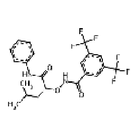 CC(C)C[C@@H](ONC(=O)c1cc(C(F)(F)F)cc(C(F)(F)F)c1)C(=O)Nc1ccccc1